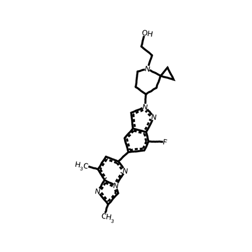 Cc1cn2nc(-c3cc(F)c4nn(C5CCN(CCO)C6(CC6)C5)cc4c3)cc(C)c2n1